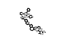 COC(=O)N[C@H](C(=O)N1CCC[C@H]1c1nc2c([nH]1)-c1ccc(-c3ccc4cc(-c5cnc([C@@H]6CCCN6OC[C@H](NC(=O)OC6CCOCC6)c6ccccc6)[nH]5)ccc4n3)cc1CCC2)C(C)C